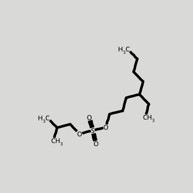 CCCCC(CC)CCCOS(=O)(=O)OCC(C)C